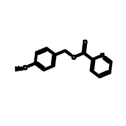 COc1ccc(COC(=O)c2ccccn2)cc1